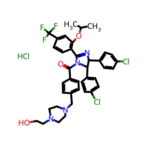 CC(C)Oc1cc(C(F)(F)F)ccc1C1=NC(c2ccc(Cl)cc2)C(c2ccc(Cl)cc2)N1C(=O)c1ccc(CN2CCN(CCO)CC2)cc1.Cl